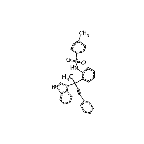 Cc1ccc(S(=O)(=O)Nc2ccccc2C(C)(C#Cc2ccccc2)c2c[nH]c3ccccc23)cc1